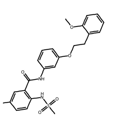 COc1ccccc1CCOc1cccc(NC(=O)c2cc(Cl)ccc2NS(C)(=O)=O)c1